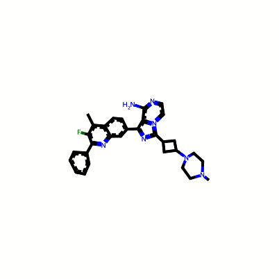 Cc1c(F)c(-c2ccccc2)nc2cc(-c3nc(C4CC(N5CCN(C)CC5)C4)n4ccnc(N)c34)ccc12